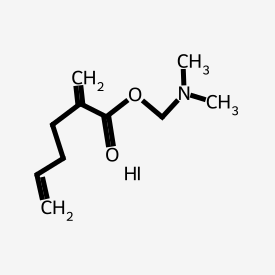 C=CCCC(=C)C(=O)OCN(C)C.I